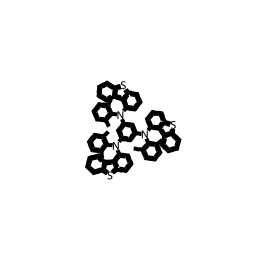 Cc1cccc(C)c1N(c1cc(N(c2c(C)cccc2C)c2cccc3sc4ccccc4c23)cc(N(c2c(C)cccc2C)c2cccc3sc4ccccc4c23)c1)c1cccc2sc3ccccc3c12